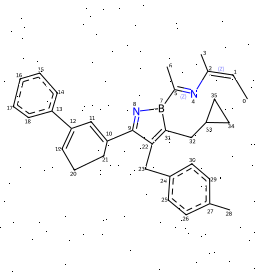 C/C=C(C)\N=C(/C)B1N=C(C2=CC(c3ccccc3)=CCC2)C(Cc2ccc(C)cc2)=C1CC1CC1